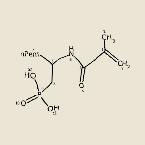 C=C(C)C(=O)NC(CCCCC)CP(=O)(O)O